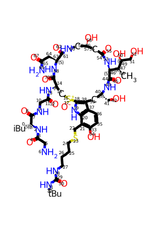 CC[C@H](C)[C@H](NC(=O)CN)C(=O)NCC(=O)N[C@H]1C[S+]([O-])c2[nH]c3c(CSCCCCNC(=O)NC(C)(C)C)c(O)ccc3c2C[C@@H](CO)NC(=O)[C@H]([C@@H](C)[C@@H](O)CO)NC(=O)C[C@@H](O)CNC(=O)[C@H](CC(N)=O)NC1=O